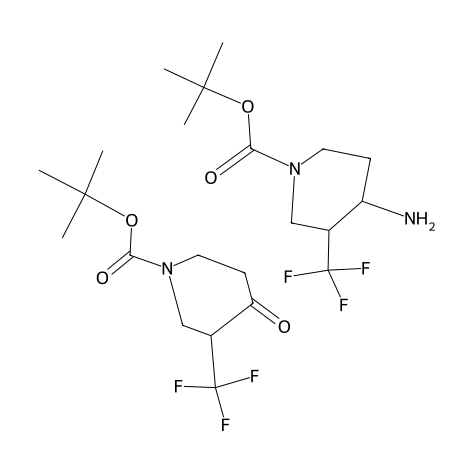 CC(C)(C)OC(=O)N1CCC(=O)C(C(F)(F)F)C1.CC(C)(C)OC(=O)N1CCC(N)C(C(F)(F)F)C1